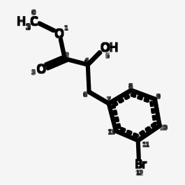 COC(=O)C(O)Cc1cccc(Br)c1